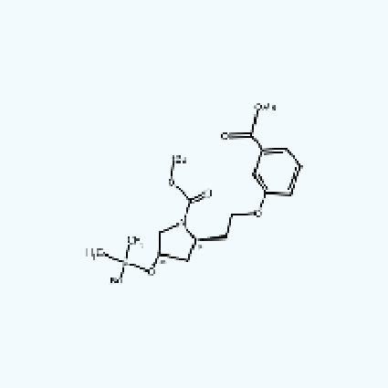 COC(=O)c1cccc(OCC[C@H]2C[C@@H](O[Si](C)(C)C(C)(C)C)CN2C(=O)OC(C)(C)C)c1